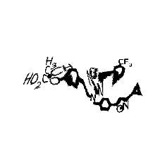 CC(C)(Oc1ccc(CCN(Cc2ccc(-c3cc(C4CC4)no3)cc2)c2noc(-c3cccc(C(F)(F)F)c3)n2)cc1)C(=O)O